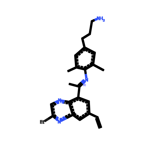 C=Cc1cc(/C(C)=N/c2c(C)cc(CCCN)cc2C)c2ncc(CC)nc2c1